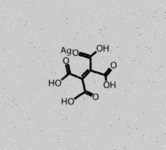 O=C(O)C(C(=O)O)=C(C(=O)O)C(=O)O.[Ag]